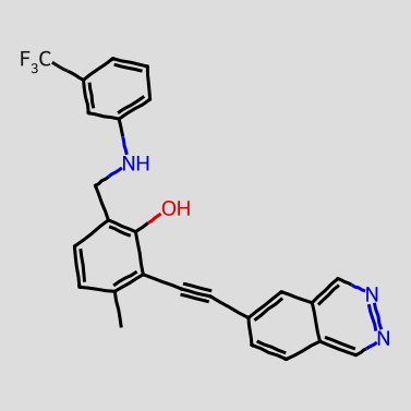 Cc1ccc(CNc2cccc(C(F)(F)F)c2)c(O)c1C#Cc1ccc2cnncc2c1